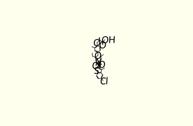 C=C(Oc1ccc(OC(CC)CN(CCC)S(=O)(=O)c2sc3ccc(Cl)cc3c2C)cc1C)C(=O)O